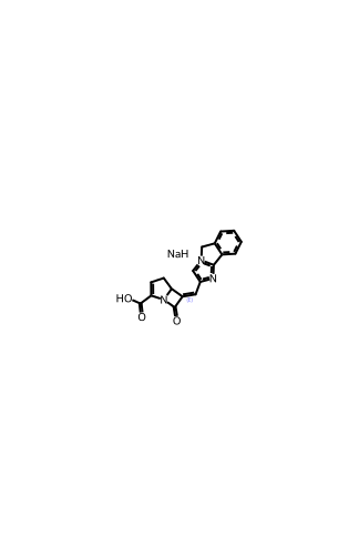 O=C(O)C1=CCC2/C(=C\c3cn4c(n3)-c3ccccc3C4)C(=O)N12.[NaH]